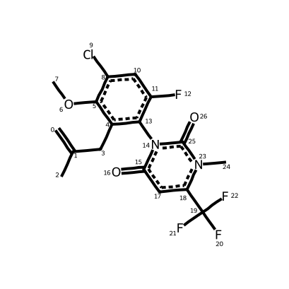 C=C(C)Cc1c(OC)c(Cl)cc(F)c1-n1c(=O)cc(C(F)(F)F)n(C)c1=O